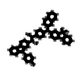 [2H]/C(=C(/[2H])c1ccc2c3ccccc3n(-c3ccc(F)cc3)c2c1)c1ccc(N(c2ccc3c(c2)C(C)(C)c2ccccc2-3)c2ccc3ccccc3c2)cc1